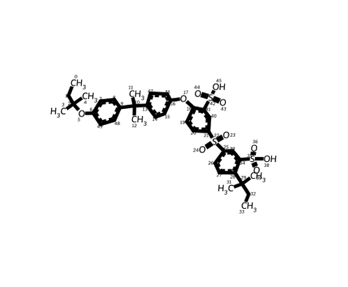 CCC(C)(C)Oc1ccc(C(C)(C)c2ccc(Oc3ccc(S(=O)(=O)c4ccc(C(C)(C)CC)c(S(=O)(=O)O)c4)cc3S(=O)(=O)O)cc2)cc1